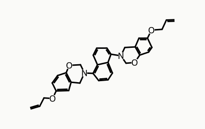 C=CCOc1ccc2c(c1)CN(c1cccc3c(N4COc5ccc(OCC=C)cc5C4)cccc13)CO2